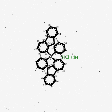 Cl.Cl.c1cc[c]([Zr]([c]2ccccc2)([c]2cccc3c2Cc2ccccc2-3)[c]2cccc3c2Cc2ccccc2-3)cc1